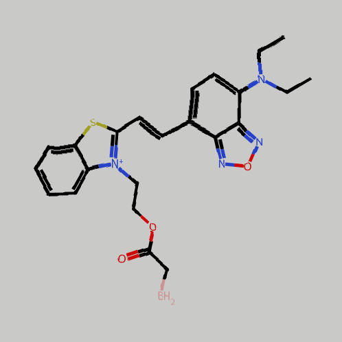 BCC(=O)OCC[n+]1c(/C=C/c2ccc(N(CC)CC)c3nonc23)sc2ccccc21